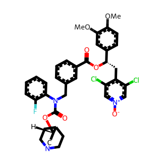 COc1ccc([C@H](Cc2c(Cl)c[n+]([O-])cc2Cl)OC(=O)c2cccc(CN(C(=O)O[C@H]3CN4CCC3CC4)c3ccccc3F)c2)cc1OC